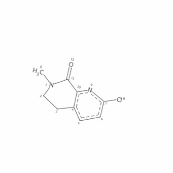 CN1CCc2ccc(Cl)nc2C1=O